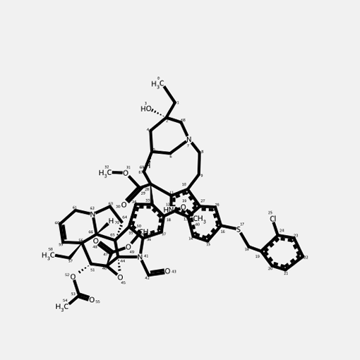 CC[C@]1(O)C[C@H]2CN(CCc3c([nH]c4ccc(SCc5ccccc5Cl)cc34)[C@@](C(=O)OC)(c3cc4c(cc3OC)N(C=O)[C@@]35O[C@]3(C(=O)OC)[C@H](OC(C)=O)[C@]3(CC)C=CCN6CC[C@]45[C@@H]63)C2)C1